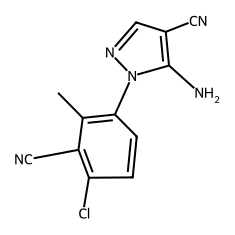 Cc1c(-n2ncc(C#N)c2N)ccc(Cl)c1C#N